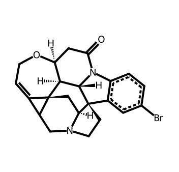 O=C1C[C@@H]2OCC=C3C4CN5CC[C@]67c8cc(Br)ccc8N1[C@H]6[C@H]2[C@@]34C[C@H]57